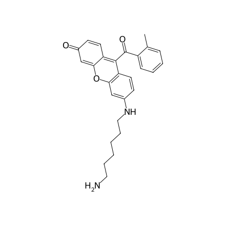 Cc1ccccc1C(=O)c1c2ccc(=O)cc-2oc2cc(NCCCCCCN)ccc12